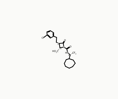 O=C(O)[C@@H]1[C@@H](CCc2cccc(Cl)c2)C(=O)N1C(=O)N[C@@H](C1CCCCCCC1)C(F)(F)F